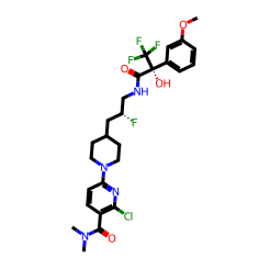 COc1cccc([C@@](O)(C(=O)NC[C@H](F)CC2CCN(c3ccc(C(=O)N(C)C)c(Cl)n3)CC2)C(F)(F)F)c1